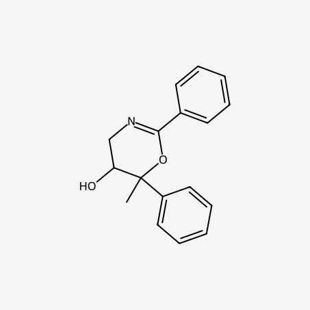 CC1(c2ccccc2)OC(c2ccccc2)=NCC1O